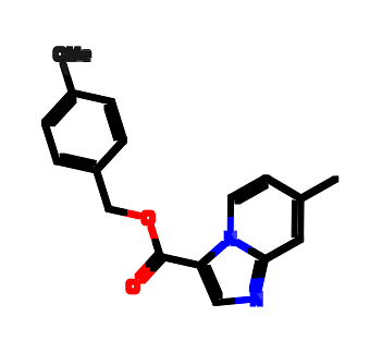 COc1ccc(COC(=O)c2cnc3cc(C)ccn23)cc1